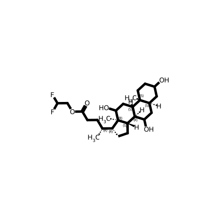 C[C@H](CCC(=O)OCC(F)F)[C@H]1CC[C@H]2[C@@H]3C(O)C[C@@H]4CC(O)CC[C@]4(C)[C@H]3CC(O)[C@]12C